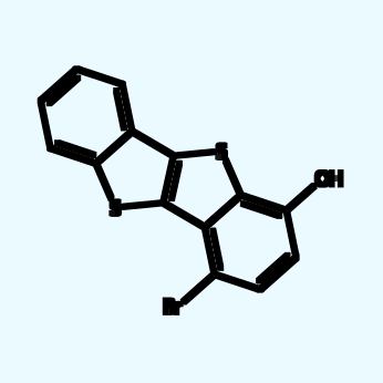 Oc1ccc(Br)c2c1sc1c3ccccc3sc12